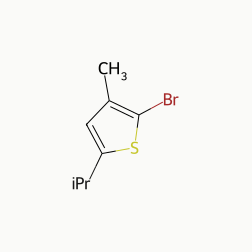 Cc1cc(C(C)C)sc1Br